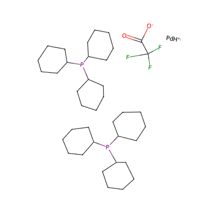 C1CCC(P(C2CCCCC2)C2CCCCC2)CC1.C1CCC(P(C2CCCCC2)C2CCCCC2)CC1.O=C([O-])C(F)(F)F.[PdH+]